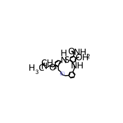 CN(C)CCOc1ccc2cc1C/C=C/Cc1cccc(c1)CNc1cc(O)c(C(N)=O)cc1SN2